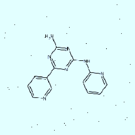 Nc1nc(Nc2ccccn2)nc(-c2cccnc2)n1